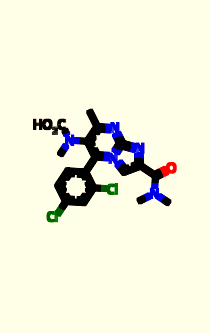 Cc1nc2nc(C(=O)N(C)C)cn2c(-c2ccc(Cl)cc2Cl)c1N(C)C(=O)O